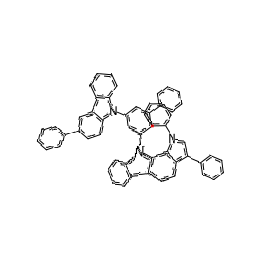 c1ccc(-c2cc(-n3c4ccccc4c4cc(-c5ccccc5)ccc43)cc(-n3c4ccccc4c4ccc5c(-c6ccccc6)cn(-c6ccccc6)c5c43)c2)cc1